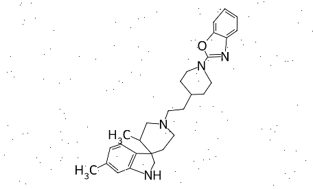 Cc1ccc2c(c1)NCC21CCN(CCC2CCN(c3nc4ccccc4o3)CC2)CC1C